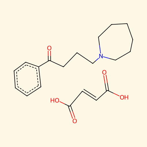 O=C(CCCN1CCCCCC1)c1ccccc1.O=C(O)/C=C/C(=O)O